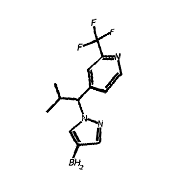 Bc1cnn(C(c2ccnc(C(F)(F)F)c2)C(C)C)c1